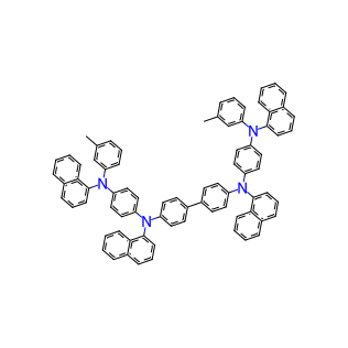 Cc1cccc(N(c2ccc(N(c3ccc(-c4ccc(N(c5ccc(N(c6cccc(C)c6)c6cccc7ccccc67)cc5)c5cccc6ccccc56)cc4)cc3)c3cccc4ccccc34)cc2)c2cccc3ccccc23)c1